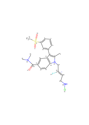 Cc1c(-c2cccc(S(=O)(=O)C(F)(F)F)c2)c2cc(C(=O)N(C)C)ccc2n1C/C(F)=C/CNCl